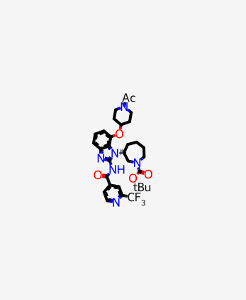 CC(=O)N1CCC(Oc2cccc3nc(NC(=O)c4ccnc(C(F)(F)F)c4)n([C@@H]4CCCCN(C(=O)OC(C)(C)C)C4)c23)CC1